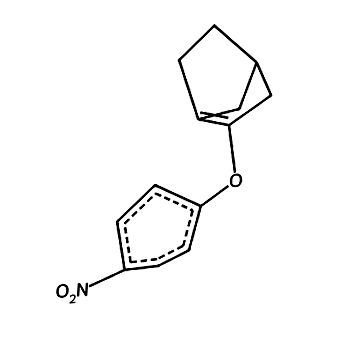 O=[N+]([O-])c1ccc(OC2=C3CCC(C3)C2)cc1